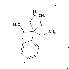 COP(OC)(OC)(OC)c1ccccc1